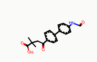 CC(C)(CC(=O)c1ccc(-c2ccc(NC=O)cc2)cc1)C(=O)O